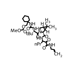 C=CCNC(=O)C(=O)C(CCC)NC(=O)[C@@H]1[C@@H]2[C@H](CN1C(=O)[C@@H](NC(=O)NC1(COC(=O)OC)CCCCC1)C(C)(C)C)C2(C)C